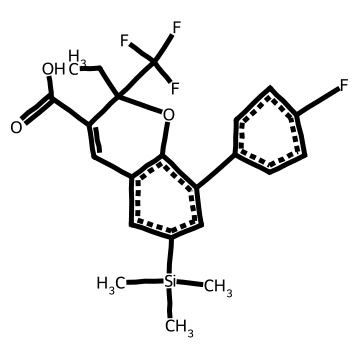 CCC1(C(F)(F)F)Oc2c(cc([Si](C)(C)C)cc2-c2ccc(F)cc2)C=C1C(=O)O